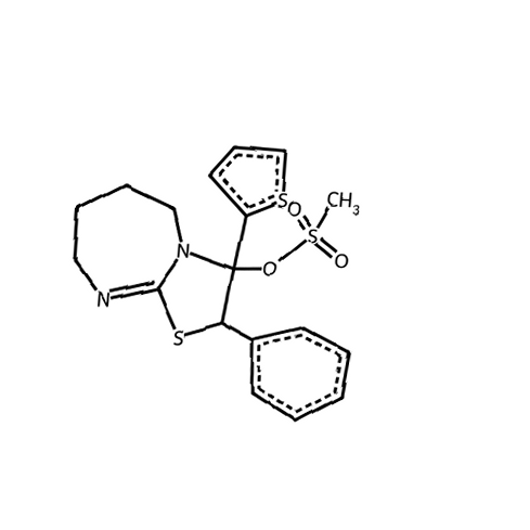 CS(=O)(=O)OC1(c2cccs2)C(c2ccccc2)SC2=NCCCCN21